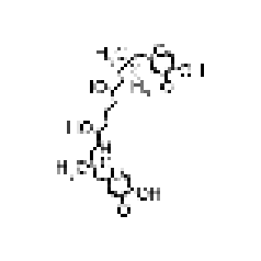 CC(C)(CCC(O)CCCC(O)CCC(C)(C)Cc1cc(=O)c(O)co1)Cc1cc(=O)c(O)co1